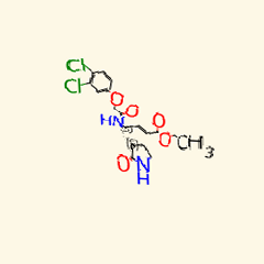 CCOC(=O)C=C[C@H](C[C@@H]1CCNC1=O)NC(=O)COc1ccc(Cl)c(Cl)c1